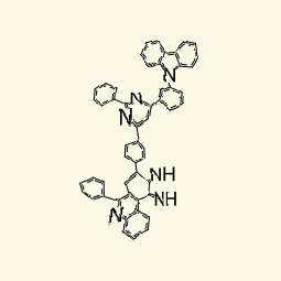 N=C1C(=N)c2c(c(-c3ccccc3)nc3ccccc23)C=C1c1ccc(-c2cc(-c3cccc(-n4c5ccccc5c5ccccc54)c3)nc(-c3ccccc3)n2)cc1